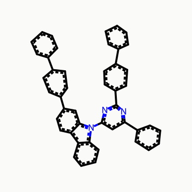 c1ccc(-c2ccc(-c3ccc4c5ccccc5n(-c5cc(-c6ccccc6)nc(-c6ccc(-c7ccccc7)cc6)n5)c4c3)cc2)cc1